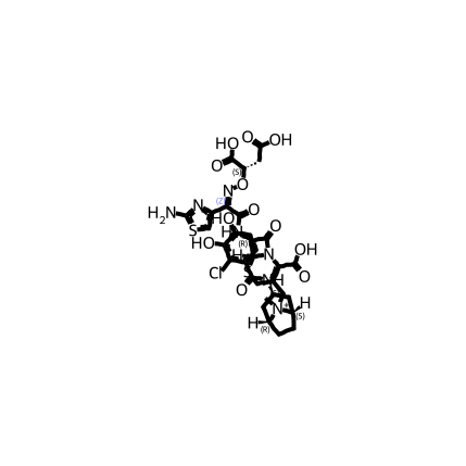 C[N+]1(CC2=C(C(=O)O)N3C(=O)[C@@H](NC(=O)/C(=N\O[C@@H](CC(=O)O)C(=O)O)c4csc(N)n4)[C@H]3SC2)[C@@H]2CC[C@H]1C[C@H](NC(=O)c1ccc(O)c(O)c1Cl)C2